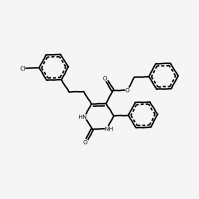 O=C1NC(CCc2cccc(Cl)c2)=C(C(=O)OCc2ccccc2)C(c2ccccc2)N1